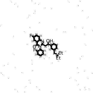 CCN(CC)Cc1cccc(C(O)Cc2nc3ccc(F)cc3c(=O)n2-c2ccccc2F)c1